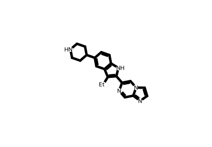 CCc1c(-c2cn3ccnc3cn2)[nH]c2ccc(C3CCNCC3)cc12